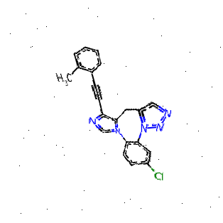 Cc1ccccc1C#Cc1ncn2c1Cc1cnnn1-c1cc(Cl)ccc1-2